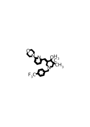 CC1(C)CN(Cc2ccc(C(F)(F)F)cc2)C/C(=C\c2cccc(N3CCOCC3)n2)C1=O